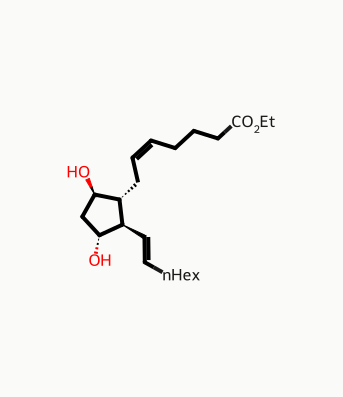 CCCCCC/C=C/[C@@H]1[C@@H](C/C=C\CCCC(=O)OCC)[C@H](O)C[C@H]1O